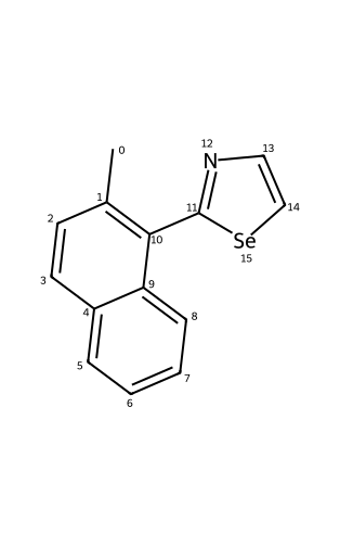 Cc1ccc2ccccc2c1-c1ncc[se]1